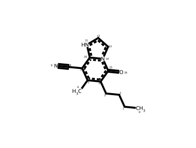 CCCCc1c(C)c(C#N)c2[nH]ccn2c1=O